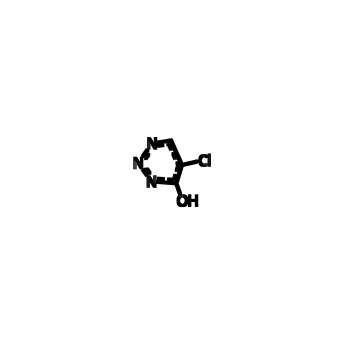 Oc1nnncc1Cl